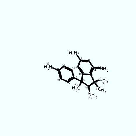 CC1(C)c2c(N)cc(N)cc2C(C)(c2ccc(N)cc2)C1N